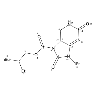 CCCCC(CC)COC(=O)n1c(=O)n(C(C)C)c2nc(=O)[nH]cc21